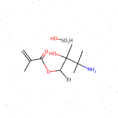 C=C(C)C(=O)OC(CC)C(C)(O)C(C)(C)N.O=S(=O)(O)O